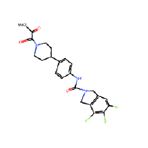 COC(=O)C(=O)N1CCC(c2ccc(NC(=O)N3Cc4cc(F)c(F)c(F)c4C3)cc2)CC1